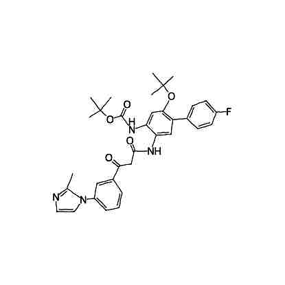 Cc1nccn1-c1cccc(C(=O)CC(=O)Nc2cc(-c3ccc(F)cc3)c(OC(C)(C)C)cc2NC(=O)OC(C)(C)C)c1